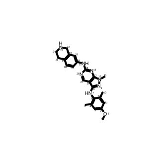 COc1cc(C)c(Nc2nn(C)c3nc(Nc4ccc5c(c4)CNCC5)ncc23)c(C)c1